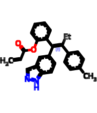 C=CC(=O)Oc1ccccc1/C(=C(\CC)c1ccc(C)cc1)c1ccc2[nH]ncc2c1